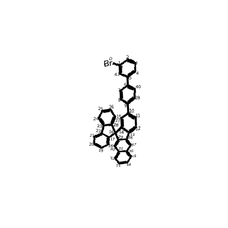 Brc1cccc(-c2ccc(-c3ccc4c(c3)C3(c5ccccc5-c5ccccc53)c3cc5ccccc5cc3-4)cc2)c1